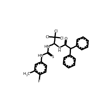 Cc1cc(NC(=S)NC(NC(=O)C(c2ccccc2)c2ccccc2)C(Cl)(Cl)Cl)ccc1F